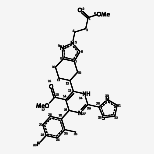 COC(=O)CCn1cc2c(n1)CCC(C1=C(C(=O)OC)C(c3ccc(F)cc3C)N=C(c3nccs3)N1)C2